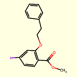 COC(=O)c1ccc(I)cc1OCCc1ccccc1